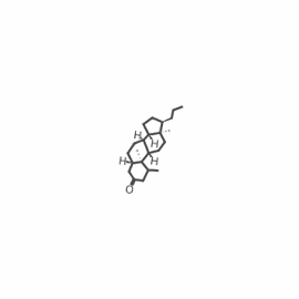 CCC[C@@H]1CC[C@H]2[C@@H]3CC[C@H]4CC(=O)CC(C)[C@]4(C)[C@H]3CC[C@]12C